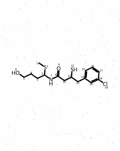 CSC(CCCO)NC(=O)CC(S)Cc1cccc(Cl)c1